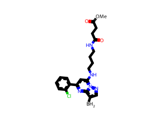 Bc1cnn2c(NCCCCNC(=O)CCC(=O)OC)cc(-c3ccccc3Cl)nc12